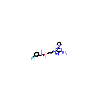 Nc1nc(N2CCCC2)nc2c1ncn2CCCCOC(=O)NCc1cccc(C(F)(F)F)c1